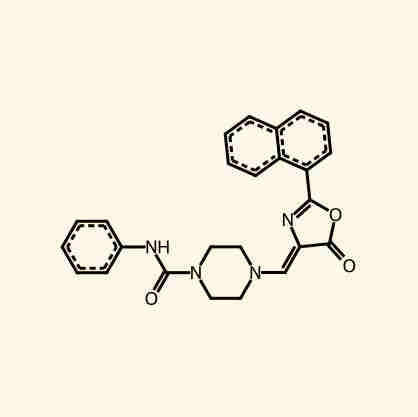 O=C1OC(c2cccc3ccccc23)=NC1=CN1CCN(C(=O)Nc2ccccc2)CC1